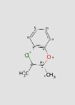 CC(Cl)[C@@H](C)Oc1ccccc1